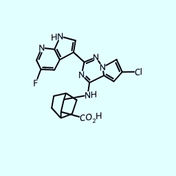 O=C(O)C1C2CCC(CC2)C1Nc1nc(-c2c[nH]c3ncc(F)cc23)nn2cc(Cl)cc12